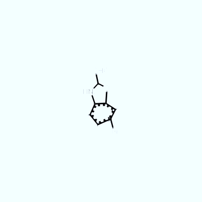 O=CC1Nc2ccc(Br)cc2O1